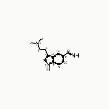 CN(C)CCc1c[nH]c2ccc(C=N)cc12